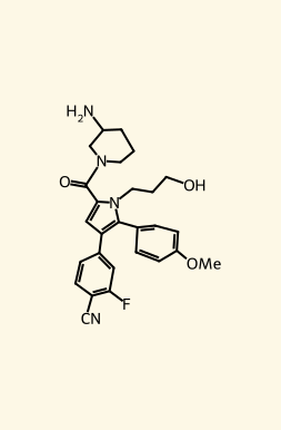 COc1ccc(-c2c(-c3ccc(C#N)c(F)c3)cc(C(=O)N3CCCC(N)C3)n2CCCO)cc1